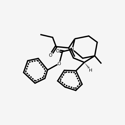 CCC(=O)C1=C[C@H](c2ccccc2)C2(C)CCC1N(C(=O)Oc1ccccc1)C2